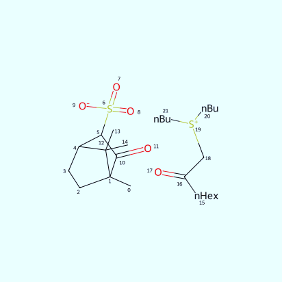 CC12CCC(C(S(=O)(=O)[O-])C1=O)C2(C)C.CCCCCCC(=O)C[S+](CCCC)CCCC